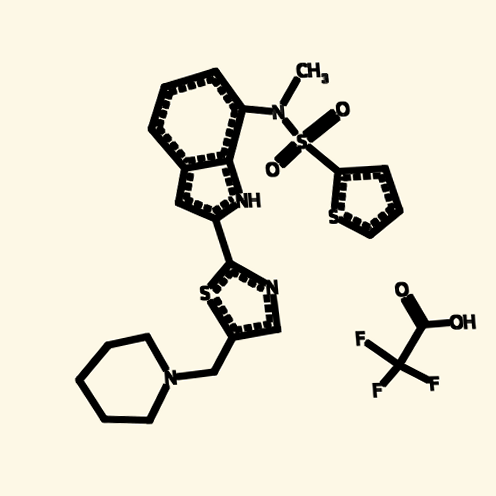 CN(c1cccc2cc(-c3ncc(CN4CCCCC4)s3)[nH]c12)S(=O)(=O)c1cccs1.O=C(O)C(F)(F)F